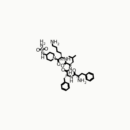 CC(C)C[C@@H](NC(=O)[C@@H](Cc1ccccc1)NC(=O)[C@H](N)Cc1ccccc1)C(=O)N[C@H](CCCCN)C(=O)N1CCC(NS(N)(=O)=O)CC1